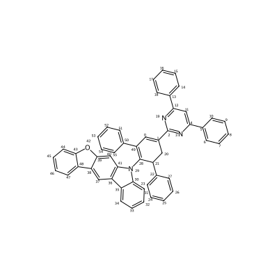 C1=C(c2nc(-c3ccccc3)cc(-c3ccccc3)n2)CC(c2ccccc2)C(n2c3ccccc3c3cc4c(cc32)oc2ccccc24)=C1c1ccccc1